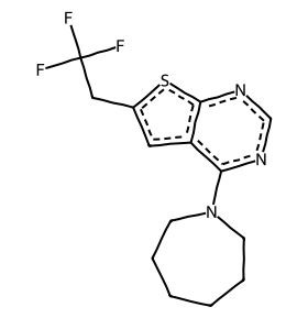 FC(F)(F)Cc1cc2c(N3CCCCCC3)ncnc2s1